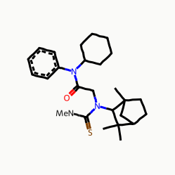 CNC(=S)N(CC(=O)N(c1ccccc1)C1CCCCC1)C1C2(C)CCC(C2)C1(C)C